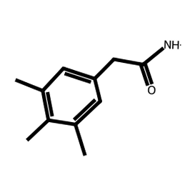 Cc1cc(CC([NH])=O)cc(C)c1C